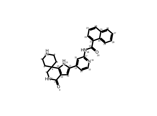 O=C1NCC2(CCNCC2)c2[nH]c(-c3ccnc(NC(=O)c4cccc5ccccc45)c3)cc21